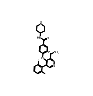 NC(=O)c1nncc(-c2c(F)cccc2F)c1Nc1ccc(C(=O)NC2CCNCC2)cc1